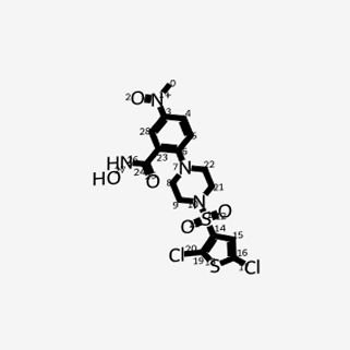 C[N+](=O)c1ccc(N2CCN(S(=O)(=O)c3cc(Cl)sc3Cl)CC2)c(C(=O)NO)c1